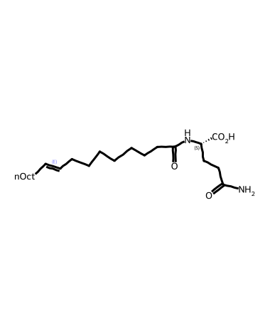 CCCCCCCC/C=C/CCCCCCCC(=O)N[C@@H](CCC(N)=O)C(=O)O